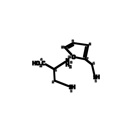 NC(CS)C(=O)O.SCc1ccco1